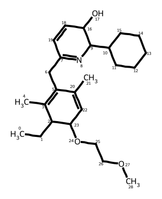 CCC1C(C)=C(CC2=NC(C3CCCCC3)C(O)C=C2)C(C)=CC1OCCOC